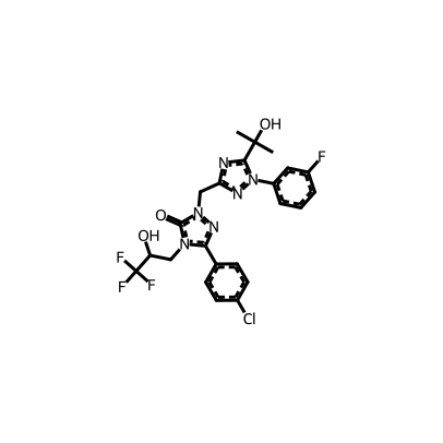 CC(C)(O)c1nc(Cn2nc(-c3ccc(Cl)cc3)n(CC(O)C(F)(F)F)c2=O)nn1-c1cccc(F)c1